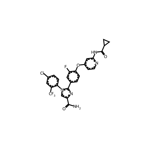 NC(=O)c1cn(-c2ccc(Cl)cc2C(F)(F)F)c(-c2ccc(Oc3ccnc(NC(=O)C4CC4)c3)c(F)c2)n1